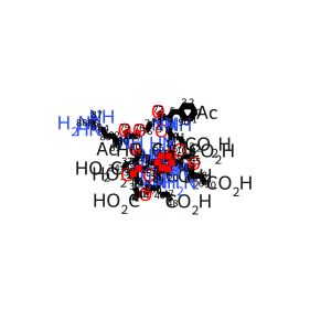 CC(=O)c1ccc(CC(NC(=O)[C@@H](CCC(=O)O)NC(=O)[C@@H](CCC(=O)O)NC(=O)[C@@H](CCC(=O)O)NC(=O)[C@@H](CCC(=O)O)NC(=O)[C@@H](CCC(=O)O)NC(=O)[C@@H](CCC(=O)O)NC(=O)[C@@H](CCC(=O)O)NC(=O)[C@@H](CCC(=O)O)NC(=O)[C@H](N)CCC(=O)O)C(=O)NCCOCC(=O)N[C@H](CCCNC(=N)N)C(C)=O)cc1